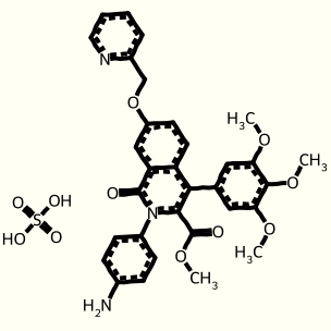 COC(=O)c1c(-c2cc(OC)c(OC)c(OC)c2)c2ccc(OCc3ccccn3)cc2c(=O)n1-c1ccc(N)cc1.O=S(=O)(O)O